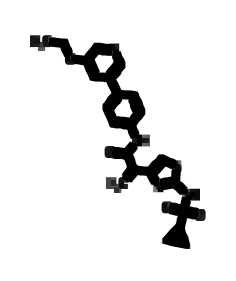 C=C(C(=O)Nc1ccc(-c2cncc(OCC)c2)cc1)c1csc(NS(=O)(=O)C2CC2)n1